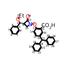 CCOC(c1ccccc1)[C@@H]1CN(Oc2ccc(C(c3ccccc3)c3ccccc3)cc2C(=O)O)C1=O